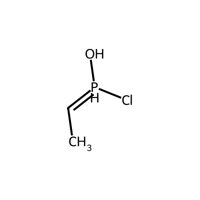 CC=[PH](O)Cl